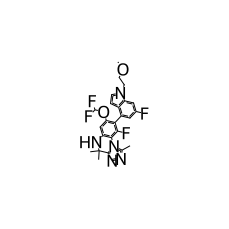 COCCn1ccc2c(-c3c(OC(F)F)cc4c(c3F)-n3c(C)nnc3C(C)(C)N4)cc(F)cc21